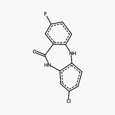 O=C1Nc2cc(Cl)ccc2Nc2ccc(F)cc21